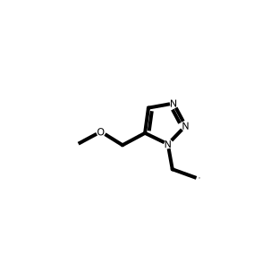 [CH2]Cn1nncc1COC